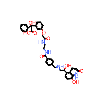 O=C(COc1cccc(C(O)(C(=O)O)c2ccccc2)c1)NCCNC(=O)c1ccc(CNCC(O)c2ccc(O)c3[nH]c(=O)ccc23)cc1